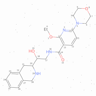 CCOc1nc(N2CCOCC2)ccc1C(=O)NCC(O)C1Cc2ccccc2CN1